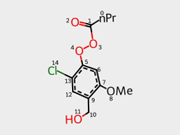 CCCC(=O)OOc1cc(OC)c(CO)cc1Cl